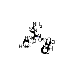 CO/N=C(\C(=O)NC1=CCNC=[C+]1)c1csc(N)n1.C[C@@]1(C(=O)[O-])C(=O)N2C=CCS[C@H]21